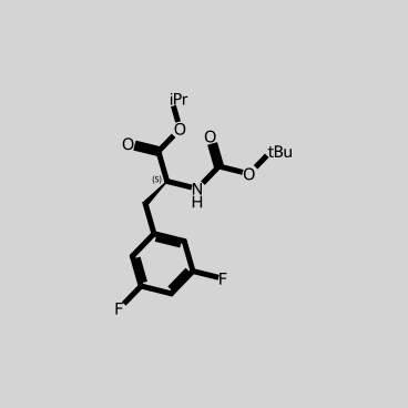 CC(C)OC(=O)[C@H](Cc1cc(F)cc(F)c1)NC(=O)OC(C)(C)C